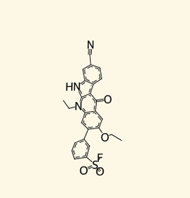 CCOc1cc2c(=O)c3c4ccc(C#N)cc4[nH]c3n(CC)c2cc1-c1cccc(S(=O)(=O)F)c1